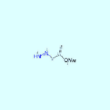 C=C(CN=N)OC